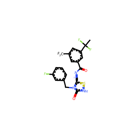 CC(F)(F)c1cc(C(=O)/N=c2\s[nH]c(=O)n2Cc2cccc(F)c2)cc(C(F)(F)F)c1